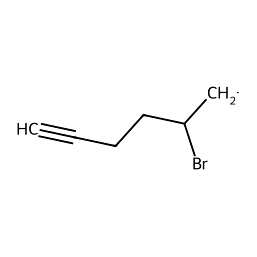 C#CCCC([CH2])Br